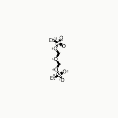 CCS(=O)(=O)OCOCOS(=O)(=O)CC